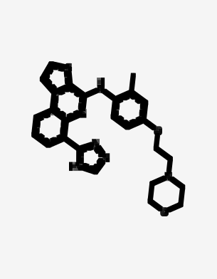 Cc1cc(OCCN2CCOCC2)ccc1Nc1nc2c(-c3nnc[nH]3)cccc2c2ccsc12